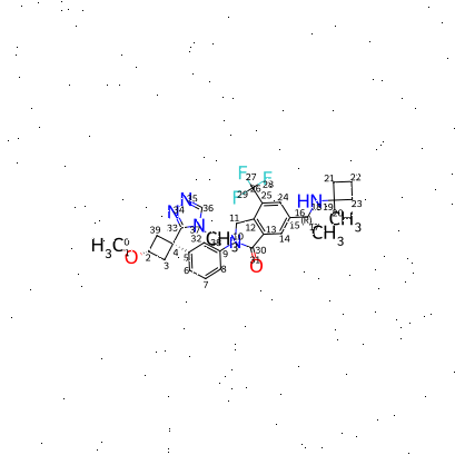 CO[C@H]1C[C@](c2cccc(N3Cc4c(cc([C@@H](C)NC5(C)CCC5)cc4C(F)(F)F)C3=O)c2)(c2nncn2C)C1